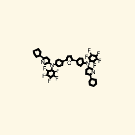 Fc1c(F)c(F)c(N(c2ccc(-c3ccc(-c4ccc(N(c5ccc(-c6ccccc6)nc5)c5c(F)c(F)c(F)c(F)c5F)cc4)o3)cc2)c2ccc(-c3ccccc3)nc2)c(F)c1F